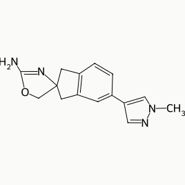 Cn1cc(-c2ccc3c(c2)CC2(COC(N)=N2)C3)cn1